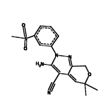 CC1(C)C=C2C(=NN(c3cccc(S(C)(=O)=O)c3)C(N)=C2C#N)CO1